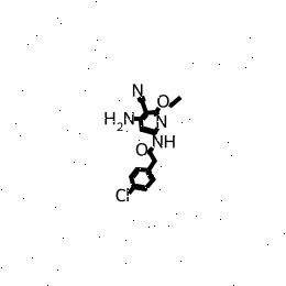 CCOc1nc(NC(=O)Cc2ccc(Cl)cc2)cc(N)c1C#N